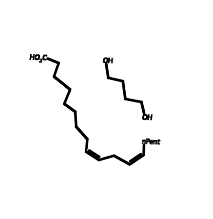 CCCCC/C=C\C/C=C\CCCCCCCC(=O)O.OCCCCO